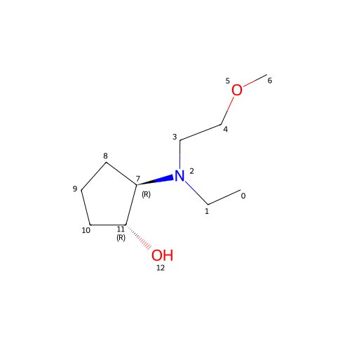 CCN(CCOC)[C@@H]1CCC[C@H]1O